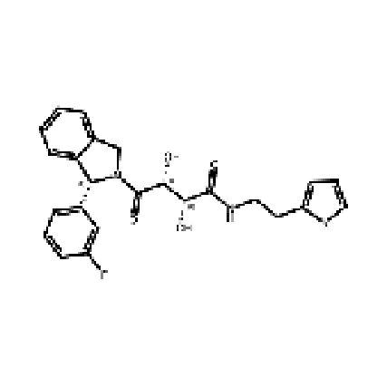 O=C(NCCc1cccs1)[C@H](O)[C@@H](O)C(=O)N1Cc2ccccc2[C@H]1c1cccc(F)c1